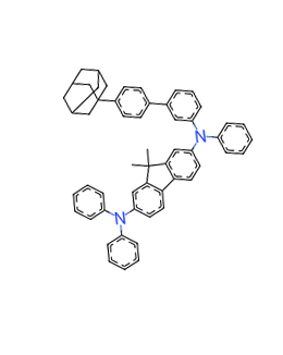 CC1(C)c2cc(N(c3ccccc3)c3ccccc3)ccc2-c2ccc(N(c3ccccc3)c3cccc(-c4ccc(C56CC7CC(CC(C7)C5)C6)cc4)c3)cc21